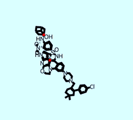 CC1(C)CCC(CN2CCN(c3ccc(C(=O)NS(=O)(=O)c4ccc(NCC5C6CC(O)CC5C6)c([N+](=O)[O-])c4)c(N4CCOc5nc6[nH]ccc6cc54)c3)CC2)=C(c2ccc(Cl)cc2)C1